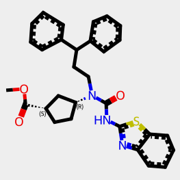 COC(=O)[C@H]1CC[C@@H](N(CCC(c2ccccc2)c2ccccc2)C(=O)Nc2nc3ccccc3s2)C1